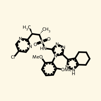 COc1cccc(OC)c1-n1c(NS(=O)(=O)[C@@H](C)[C@H](C)c2ncc(Cl)cn2)nnc1-c1n[nH]c2c1CCCC2